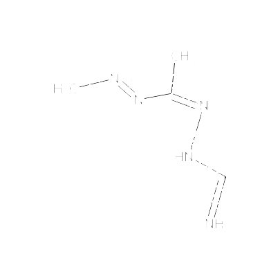 C/N=N/C(C)=N\NC=N